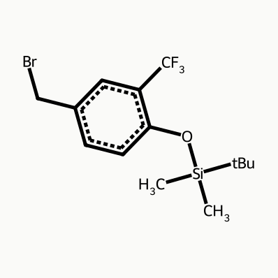 CC(C)(C)[Si](C)(C)Oc1ccc(CBr)cc1C(F)(F)F